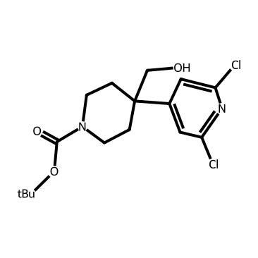 CC(C)(C)OC(=O)N1CCC(CO)(c2cc(Cl)nc(Cl)c2)CC1